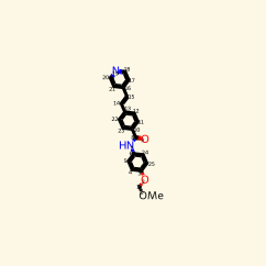 COCOc1ccc(NC(=O)c2ccc(/C=C/c3ccncc3)cc2)cc1